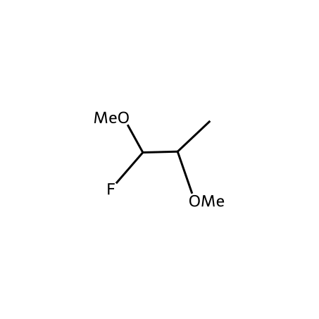 COC(C)C(F)OC